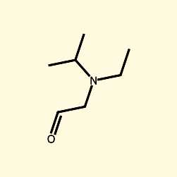 CCN(CC=O)C(C)C